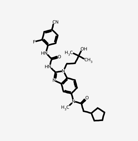 CN(C(=O)CC1CCCC1)c1ccc2c(c1)nc(NC(=O)Nc1ccc(C#N)cc1F)n2CCC(C)(C)O